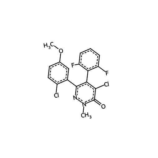 COc1ccc(Cl)c(-c2nn(C)c(=O)c(Cl)c2-c2c(F)cccc2F)c1